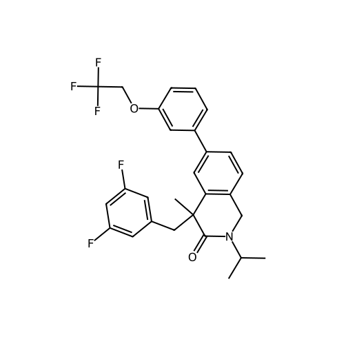 CC(C)N1Cc2ccc(-c3cccc(OCC(F)(F)F)c3)cc2C(C)(Cc2cc(F)cc(F)c2)C1=O